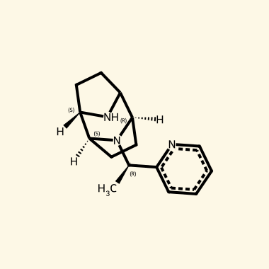 C[C@H](c1ccccn1)N1[C@@H]2CC[C@H]1[C@@H]1CCC2N1